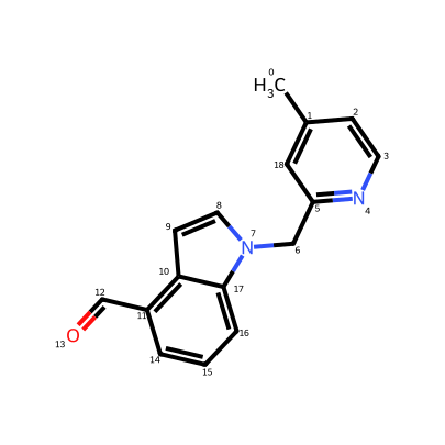 Cc1ccnc(Cn2ccc3c(C=O)cccc32)c1